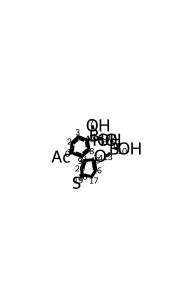 CC(=O)c1ccc(B(O)O)cc1.OB(O)COC1=CCC(=S)C=C1